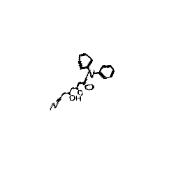 N#CCC(O)CC(=O)CC(=O)N(c1ccccc1)c1ccccc1